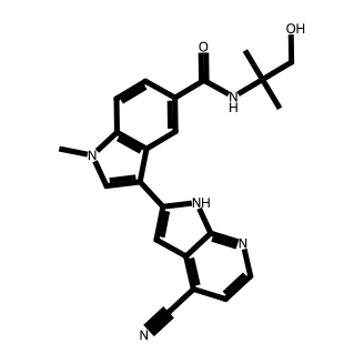 Cn1cc(-c2cc3c(C#N)ccnc3[nH]2)c2cc(C(=O)NC(C)(C)CO)ccc21